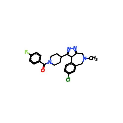 CN1CC2=NN=C(C3CCN(C(=O)c4ccc(F)cc4)CC3)C2c2ccc(Cl)cc2C1